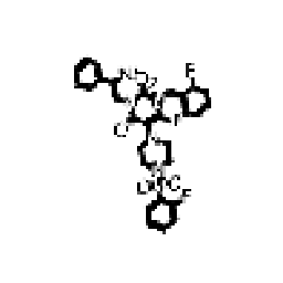 Cc1c(N2CCN(S(=O)(=O)c3ccccc3F)CC2)c(=O)n(CC(N)c2ccccc2)c(=O)n1Cc1c(F)cccc1F